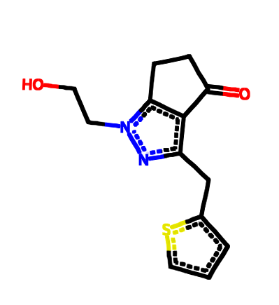 O=C1CCc2c1c(Cc1cccs1)nn2CCO